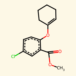 COC(=O)c1cc(Cl)ccc1OC1=CCCCC1